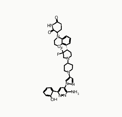 Nc1nnc(-c2ccccc2O)cc1-n1cc(N2CCC(N3CC[C@@H](c4cccc5c4OCCN5[C@@H]4CCC(=O)NC4=O)C(F)(F)C3)CC2)cn1